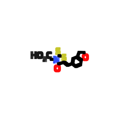 O=C(O)CN1C(=O)C(=Cc2ccc3c(c2)CCO3)SC1=S